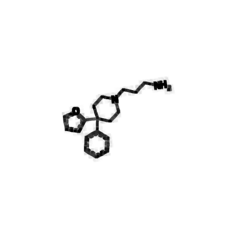 NCCCN1CCC(c2ccccc2)(c2ccco2)CC1